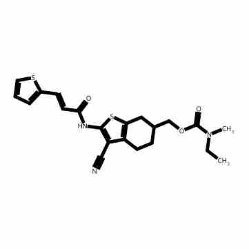 CCN(C)C(=O)OCC1CCc2c(sc(NC(=O)C=Cc3cccs3)c2C#N)C1